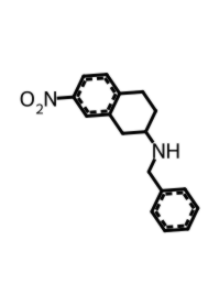 O=[N+]([O-])c1ccc2c(c1)CC(NCc1ccccc1)CC2